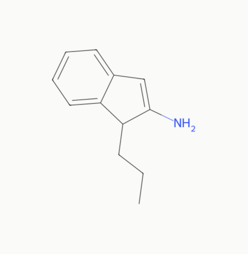 CCCC1C(N)=Cc2ccccc21